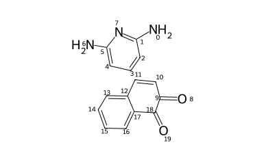 Nc1cccc(N)n1.O=C1C=Cc2ccccc2C1=O